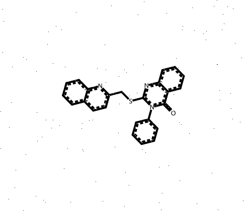 O=c1c2ccccc2nc(SCc2ccc3ccccc3n2)n1-c1ccccc1